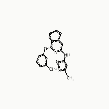 Cc1cc(Nc2cc3ccccc3c(Oc3cccc(Cl)c3)n2)n[nH]1